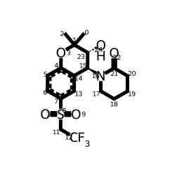 CC1(C)Oc2ccc(S(=O)(=O)CC(F)(F)F)cc2[C@H](N2CCCCC2=O)[C@H]1O